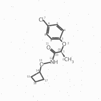 C[C@H](Oc1ccc(Cl)cc1)C(=O)NOC1CCC1